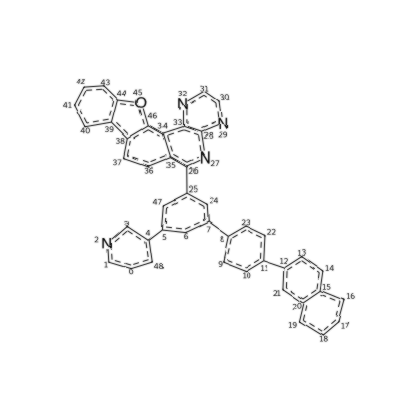 c1cncc(-c2cc(-c3ccc(-c4ccc5ccccc5c4)cc3)cc(-c3nc4nccnc4c4c3ccc3c5ccccc5oc34)c2)c1